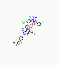 CCn1c(=O)c(-c2cc(NC(=O)Nc3cccc(F)c3)c(F)cc2Cl)cc2cnc(NCc3ccc(OC)cc3)cc21